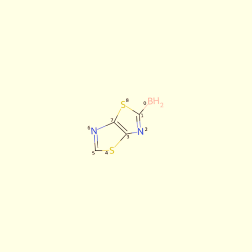 Bc1nc2scnc2s1